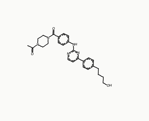 CC(=O)N1CCN(C(=O)c2ccc(Nc3nccc(-c4ccc(CCCCO)cc4)n3)cc2)CC1